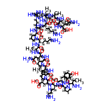 CC(C)[C@H](N)C(=O)N1CCC[C@H]1C(=O)N[C@@H](Cc1ccc(O)cc1)C(=O)N[C@@H](CCCCN)C(=O)N[C@@H](CCC(=O)O)C(=O)N1CCC[C@H]1C(=O)N[C@H](C(=O)N1CCC[C@H]1C(=O)N[C@@H](CCC(N)=O)C(=O)N[C@@H](C)C(=O)N[C@@H](CCCCN)C(=O)N1CCC[C@H]1C(=O)N[C@@H](CCCNC(=N)N)C(=O)N[C@@H](CCCCN)C(=O)N[C@H](C(=O)N[C@@H](C)C(=O)N[C@@H](C)C(=O)N[C@@H](CCC(N)=O)C(=O)O)C(C)C)C(C)C